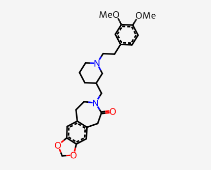 COc1ccc(CCN2CCCC(CN3CCc4cc5c(cc4CC3=O)OCO5)C2)cc1OC